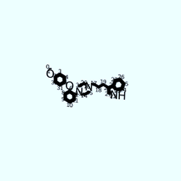 COc1ccc(Oc2ccccc2N2CCN(CCCc3c[nH]c4ccccc34)CC2)cc1